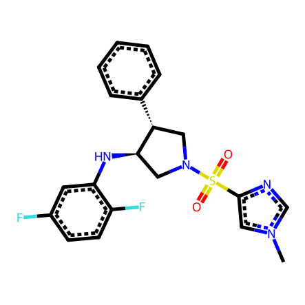 Cn1cnc(S(=O)(=O)N2C[C@@H](Nc3cc(F)ccc3F)[C@H](c3ccccc3)C2)c1